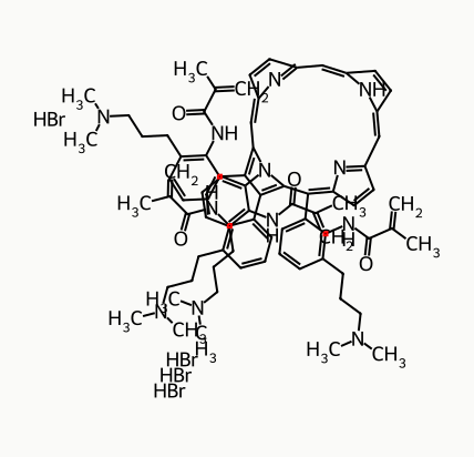 Br.Br.Br.Br.C=C(C)C(=O)Nc1c(CCCN(C)C)cccc1-c1c(-c2cccc(CCCN(C)C)c2NC(=O)C(=C)C)c2c(-c3cccc(CCCN(C)C)c3NC(=O)C(=C)C)c3nc(cc4ccc(cc5nc(cc1n2-c1cccc(CCCN(C)C)c1NC(=O)C(=C)C)C=C5)[nH]4)C=C3